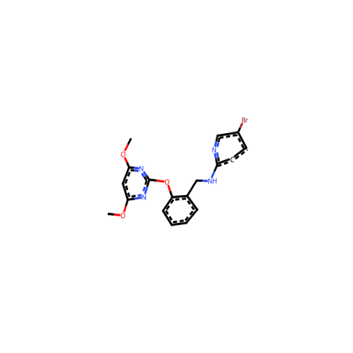 COc1cc(OC)nc(Oc2ccccc2CNc2ccc(Br)cn2)n1